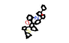 c1ccc(-c2ccc(N(c3ccccc3-c3ccccc3)c3cccc4oc5c(-c6cccc7c6sc6ccccc67)c6ccccc6cc5c34)cc2)cc1